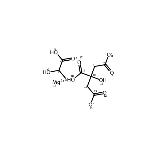 CC(O)C(=O)O.O=C([O-])CC(O)(CC(=O)[O-])C(=O)O.[Mg+2]